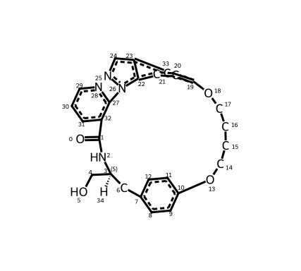 O=C1N[C@H](CO)Cc2ccc(cc2)OCCCCOc2ccc3c(cnn3-c3ncccc31)c2